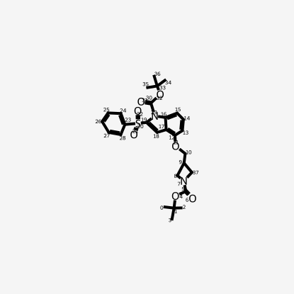 CC(C)(C)OC(=O)N1CC(COc2cccc3c2cc(S(=O)(=O)c2ccccc2)n3C(=O)OC(C)(C)C)C1